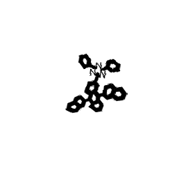 c1ccc(-c2nc(-c3ccccc3)nc(-c3ccc4c(-c5ccc6ccccc6c5)c5ccccc5c(-c5ccc6ccccc6c5)c4c3)n2)cc1